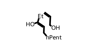 C=CCO.CCCCCCC=C(O)CC